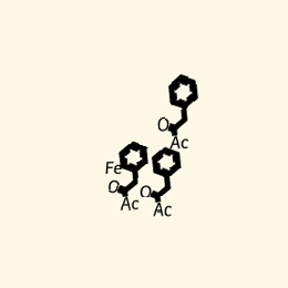 CC(=O)C(=O)Cc1ccccc1.CC(=O)C(=O)Cc1ccccc1.CC(=O)C(=O)Cc1ccccc1.[Fe]